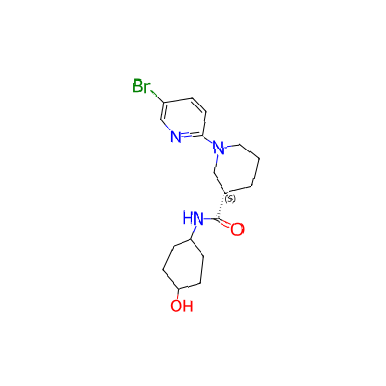 O=C(NC1CCC(O)CC1)[C@H]1CCCN(c2ccc(Br)cn2)C1